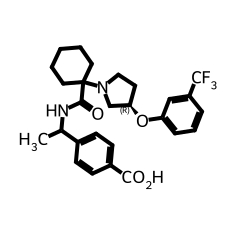 CC(NC(=O)C1(N2CC[C@@H](Oc3cccc(C(F)(F)F)c3)C2)CCCCC1)c1ccc(C(=O)O)cc1